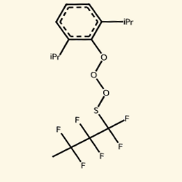 CC(C)c1cccc(C(C)C)c1OOOSC(F)(F)C(F)(F)C(C)(F)F